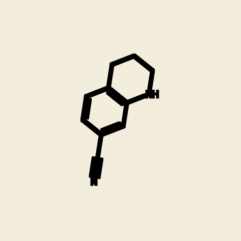 N#Cc1ccc2c(c1)NCCC2